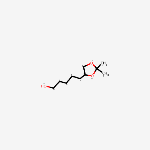 CC1(C)OCC(CCCCCO)O1